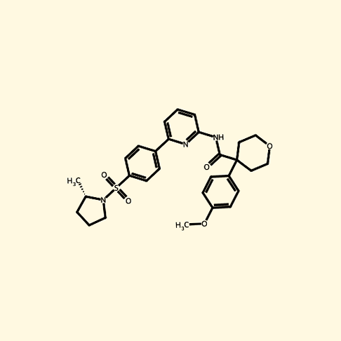 COc1ccc(C2(C(=O)Nc3cccc(-c4ccc(S(=O)(=O)N5CCC[C@@H]5C)cc4)n3)CCOCC2)cc1